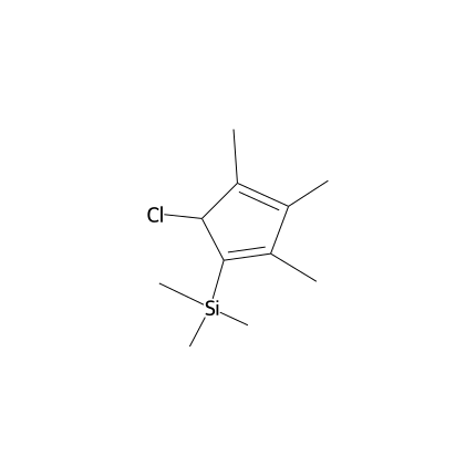 CC1=C(C)C(Cl)C([Si](C)(C)C)=C1C